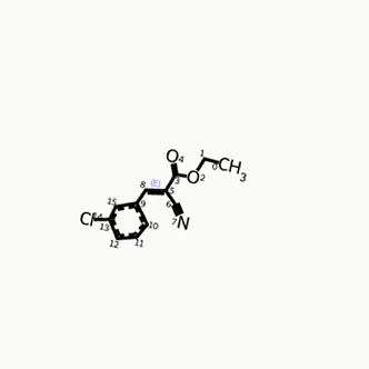 CCOC(=O)/C(C#N)=C/c1cccc(Cl)c1